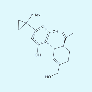 C=C(C)[C@H]1CCC(CO)=C[C@@H]1c1c(O)cc(C2(CCCCCC)CC2)cc1O